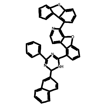 c1ccc(C2=NC(c3ccc4ccccc4c3)NC(c3cccc4oc5c(-c6cccc7sc8ccccc8c67)nccc5c34)=N2)cc1